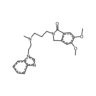 COc1cc2c(cc1OC)C(=O)N(CCCN(C)CCn1cnc3ccccc31)C2